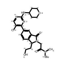 CN(C(=O)CN1C(=O)c2cc(-c3nc(NC4CCOCC4)ncc3Cl)ccc2C1CCO)C(C)(C)C